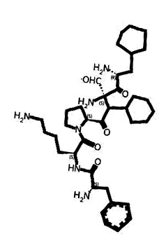 NCCCC[C@H](NC(=O)[C@@H](N)Cc1ccccc1)C(=O)N1CCC[C@H]1C(=O)C(C1CCCCC1)[C@](N)([C]=O)C(=O)[C@H](N)CC1CCCCC1